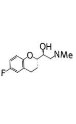 CNC[C@H](O)[C@@H]1CCc2cc(F)ccc2O1